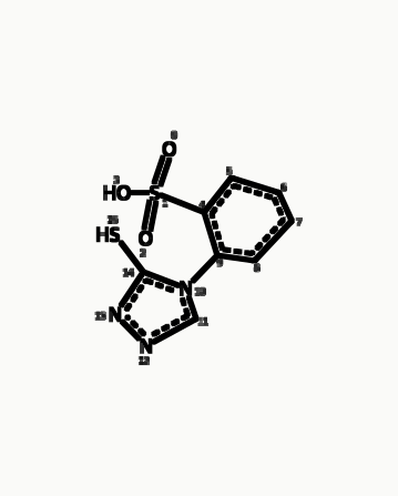 O=S(=O)(O)c1ccccc1-n1cnnc1S